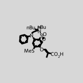 CCCCC1(CCCC)CN(c2ccccc2)c2cc(SC)c(O/C=C(\C)C(=O)O)cc2S(=O)(=O)N1